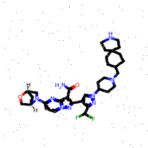 NC(=O)c1c(-c2cn(C3CCN(CC4CCC5(CCNCC5)CC4)CC3)nc2C(F)F)nn2ccc(N3C[C@H]4C[C@@H]3CO4)nc12